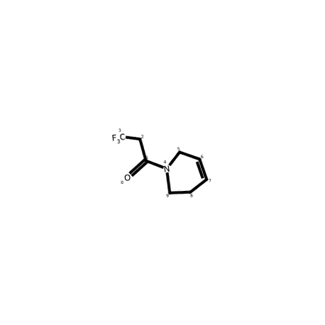 O=C(CC(F)(F)F)N1CC=CCC1